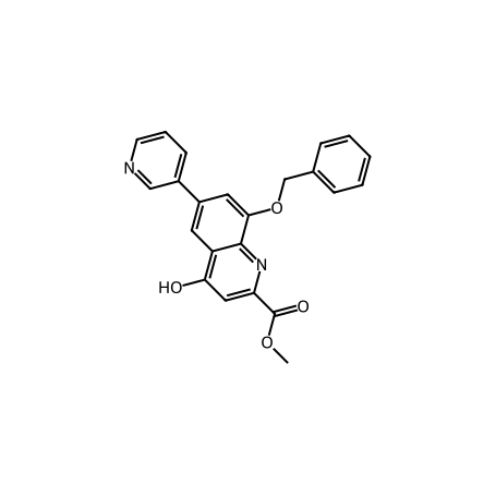 COC(=O)c1cc(O)c2cc(-c3cccnc3)cc(OCc3ccccc3)c2n1